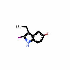 CC(C)(C)Cc1c(I)[nH]c2ccc(Br)cc12